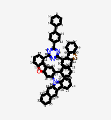 c1ccc(-c2ccc(-c3nc(-c4cccc5oc6cc(-n7c8ccccc8c8cc9ccccc9cc87)c(-c7ccccc7)cc6c45)nc(-c4cccc5sc6ccccc6c45)n3)cc2)cc1